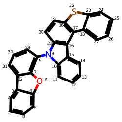 c1ccc2c(c1)oc1c(-n3c4ccccc4c4c5c(ccc43)sc3ccccc35)cccc12